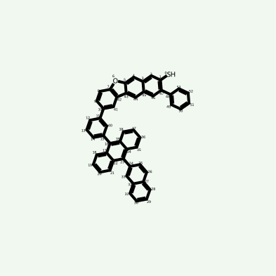 Sc1cc2cc3oc4ccc(-c5cccc(-c6c7ccccc7c(-c7ccc8ccccc8c7)c7ccccc67)c5)cc4c3cc2cc1-c1ccccc1